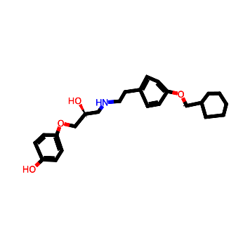 Oc1ccc(OC[C@@H](O)CNCCc2ccc(O[CH]C3CCCCC3)cc2)cc1